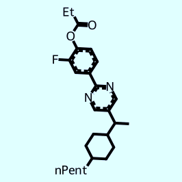 CCCCCC1CCC(C(C)c2cnc(-c3ccc(OC(=O)CC)c(F)c3)nc2)CC1